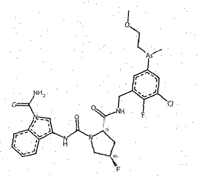 COCC[As](C)c1cc(Cl)c(F)c(CNC(=O)[C@@H]2C[C@@H](F)CN2C(=O)Nc2cn(C(N)=O)c3ccccc23)c1